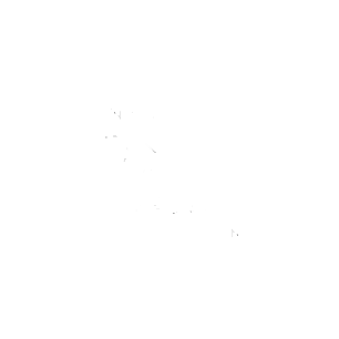 C[C@@H](C[C@H]1CC12CCNCC2)Oc1ccc(C(=O)N(C)C)c(Cl)c1